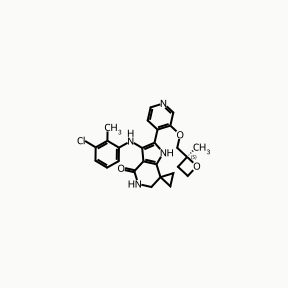 Cc1c(Cl)cccc1Nc1c(-c2ccncc2OC[C@]2(C)CCO2)[nH]c2c1C(=O)NCC21CC1